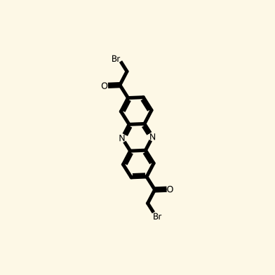 O=C(CBr)c1ccc2nc3cc(C(=O)CBr)ccc3nc2c1